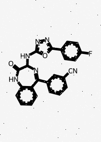 N#Cc1cccc(C2=NC(Nc3nnc(-c4ccc(F)cc4)o3)C(=O)Nc3ccccc32)c1